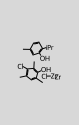 Cc1cc(C)c(Cl)c(C)c1O.Cc1ccc(C(C)C)c(O)c1.[Cl][Zr].[Zr]